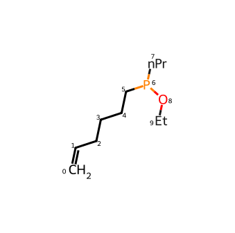 C=CCCCCP(CCC)OCC